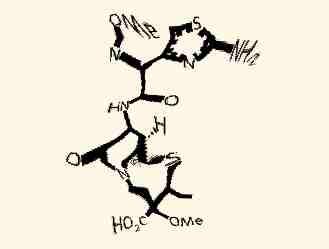 CON=C(C(=O)NC1C(=O)N2CC(OC)(C(=O)O)C(C)S[C@H]12)c1csc(N)n1